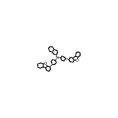 c1ccc2cc(N(c3ccc(-c4ccc5oc6ccccc6c5c4)cc3)c3ccc(-c4cccc5c4oc4ccccc45)cc3)ccc2c1